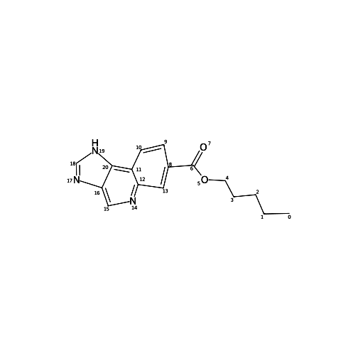 CCCCCOC(=O)c1ccc2c(c1)ncc1nc[nH]c12